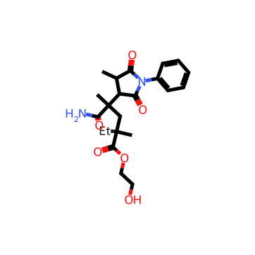 CCC(C)(CC(C)(C(N)=O)C1C(=O)N(c2ccccc2)C(=O)C1C)C(=O)OCCO